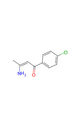 C/C(N)=C/C(=O)c1ccc(Cl)cc1